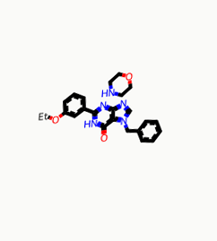 C1COCCN1.CCOc1cccc(-c2nc3ncn(Cc4ccccc4)c3c(=O)[nH]2)c1